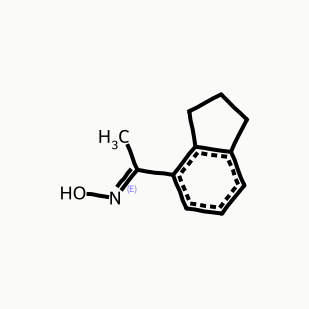 C/C(=N\O)c1cccc2c1CCC2